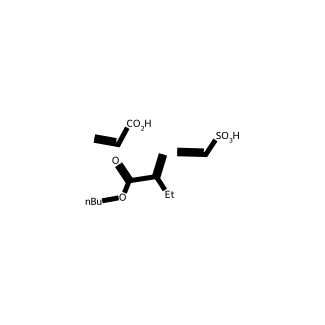 C=C(CC)C(=O)OCCCC.C=CC(=O)O.C=CS(=O)(=O)O